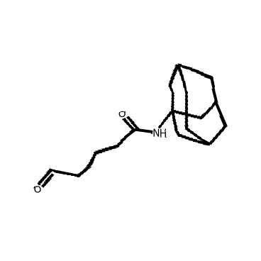 O=CCCCC(=O)NC12CC3CC(CC(C3)C1)C2